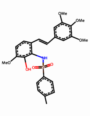 COc1ccc(C=Cc2cc(OC)c(OC)c(OC)c2)c(NS(=O)(=O)c2ccc(C)cc2)c1O